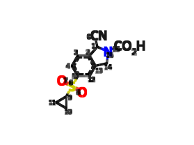 N#CC1c2ccc(S(=O)(=O)C3CC3)cc2CN1C(=O)O